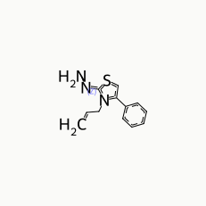 C=CCn1c(-c2ccccc2)cs/c1=N\N